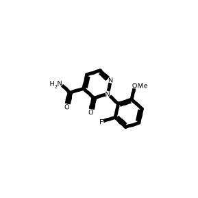 COc1cccc(F)c1-n1nccc(C(N)=O)c1=O